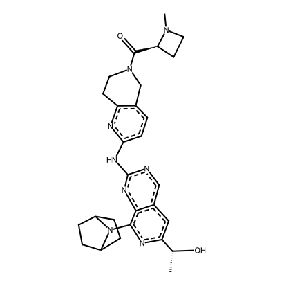 C[C@@H](O)c1cc2cnc(Nc3ccc4c(n3)CCN(C(=O)[C@@H]3CCN3C)C4)nc2c(N2C3CCC2CC3)n1